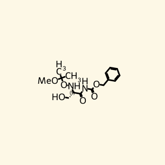 COC(C)(C)ON[C@@H](CO)C(=O)NC(=O)OCc1ccccc1